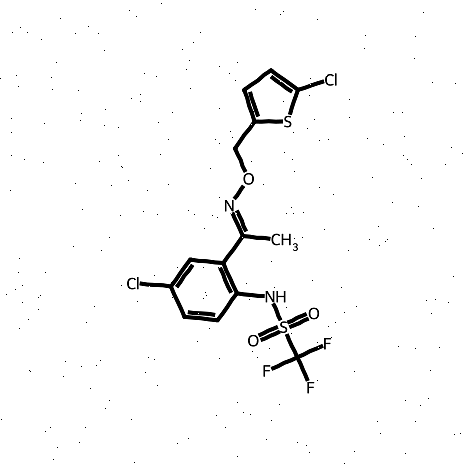 CC(=NOCc1ccc(Cl)s1)c1cc(Cl)ccc1NS(=O)(=O)C(F)(F)F